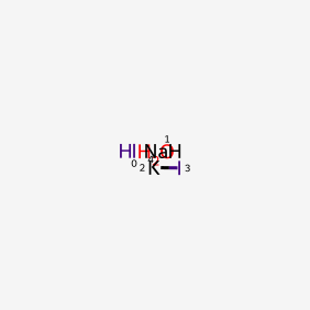 I.O.[K][I].[NaH]